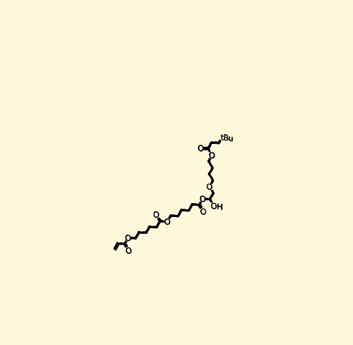 C=CC(=O)OCCCCCC(=O)OCCCCCC(=O)OC(O)COCCCCOC(=O)CCC(C)(C)C